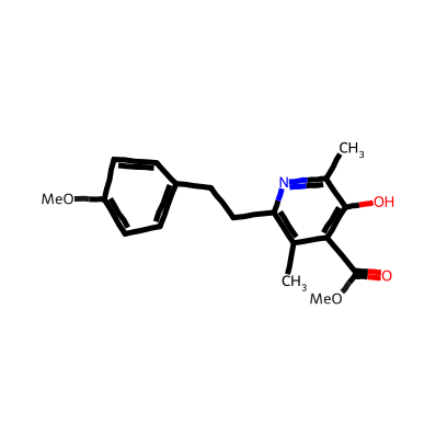 COC(=O)c1c(C)c(CCc2ccc(OC)cc2)nc(C)c1O